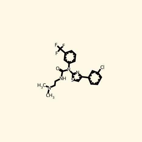 CN(C)CCNC(=O)N(c1cccc(C(F)(F)F)c1)c1nc(-c2cccc(Cl)c2)cs1